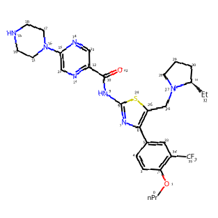 CCCOc1ccc(-c2nc(NC(=O)c3cnc(N4CCNCC4)cn3)sc2CN2CCC[C@H]2CC)cc1C(F)(F)F